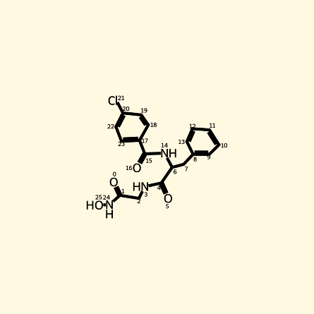 O=C(CNC(=O)C(Cc1ccccc1)NC(=O)c1ccc(Cl)cc1)NO